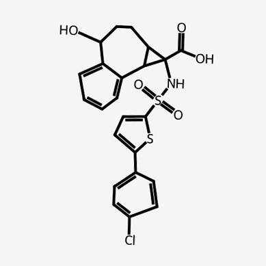 O=C(O)C1(NS(=O)(=O)c2ccc(-c3ccc(Cl)cc3)s2)C2CCC(O)c3ccccc3C21